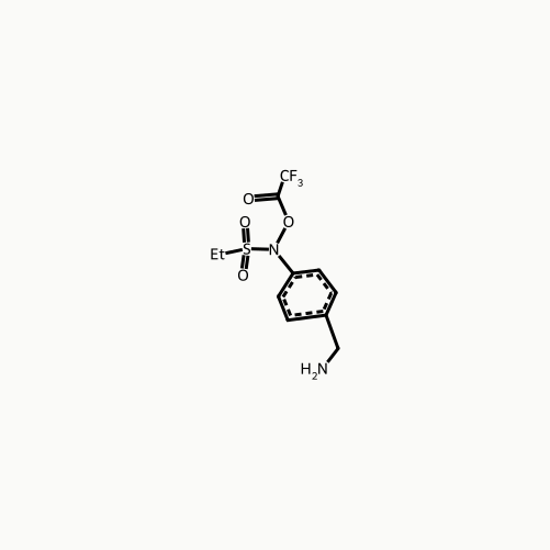 CCS(=O)(=O)N(OC(=O)C(F)(F)F)c1ccc(CN)cc1